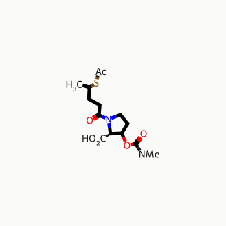 CNC(=O)OC1CCN(C(=O)CCC(C)SC(C)=O)[C@@H]1C(=O)O